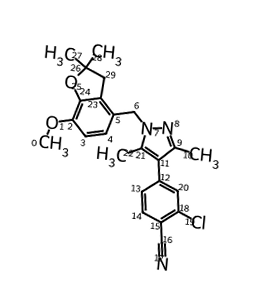 COc1ccc(Cn2nc(C)c(-c3ccc(C#N)c(Cl)c3)c2C)c2c1OC(C)(C)C2